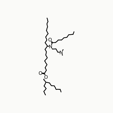 CCCCCCCCCC(CCCCCCCCC(=O)OCC(CCCC)CCCCCC)N(CCCN(C)C)C(=O)CCCCCCCC